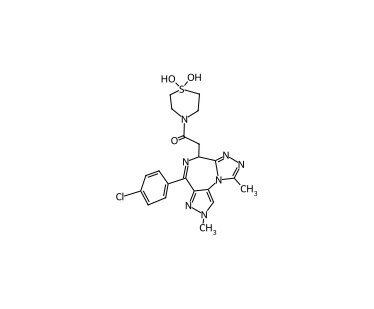 Cc1nnc2n1-c1cn(C)nc1C(c1ccc(Cl)cc1)=NC2CC(=O)N1CCS(O)(O)CC1